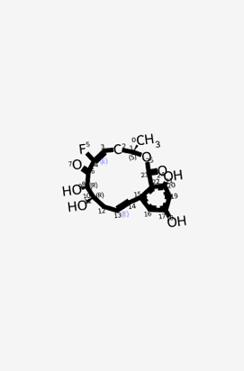 C[C@H]1C/C=C(/F)C(=O)[C@H](O)[C@H](O)C/C=C/c2cc(O)cc(O)c2C(=O)O1